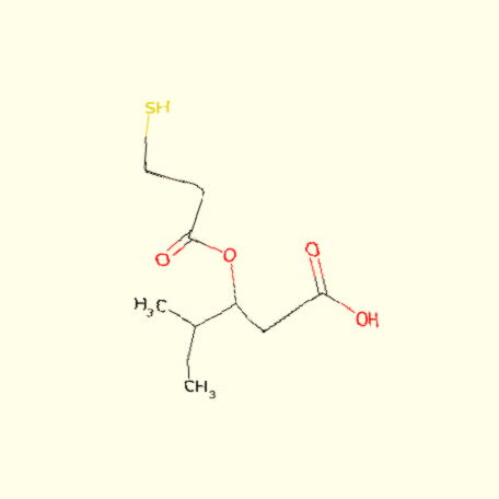 CC(C)C(CC(=O)O)OC(=O)CCS